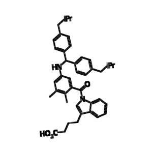 Cc1cc(NC(c2ccc(CC(C)C)cc2)c2ccc(CC(C)C)cc2)cc(C(=O)n2cc(CCCC(=O)O)c3ccccc32)c1C